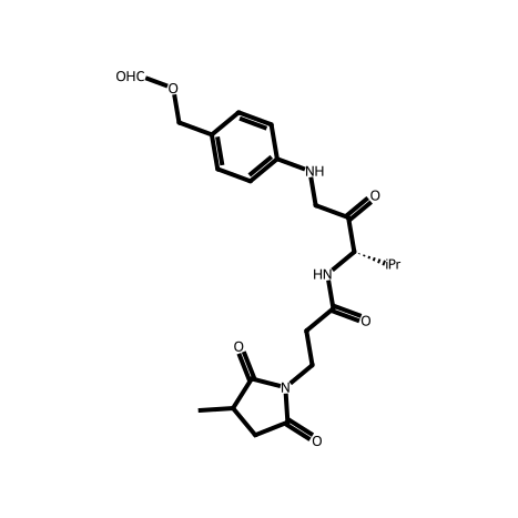 CC1CC(=O)N(CCC(=O)N[C@H](C(=O)CNc2ccc(COC=O)cc2)C(C)C)C1=O